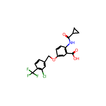 O=C(O)c1cc(OCc2ccc(C(F)(F)F)c(Cl)c2)ccc1NC(=O)C1CC1